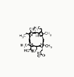 C=Cc1c2[nH]c(c1C)C=C1N=C(C(=CO)C3=NC(=CC4=NC(=C2)C(C)=C4CC)C(C)=C3C(=O)O)[C@@H](CCC(=O)O)[C@@H]1C